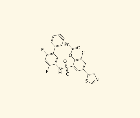 CC(C)C(=O)Oc1c(Cl)cc(-c2cncs2)cc1S(=O)(=O)Nc1cc(-c2cc#ccc2)c(F)cc1F